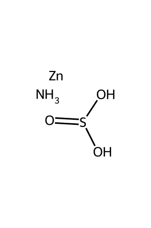 N.O=S(O)O.[Zn]